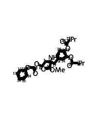 COC(=O)[C@@](N)(CCOC(=O)Oc1ccccc1)Cc1ccc(OC(=O)C(C)C)c(OC(=O)C(C)C)c1